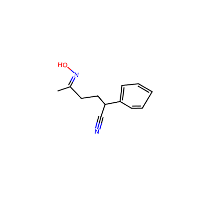 CC(CCC(C#N)c1ccccc1)=NO